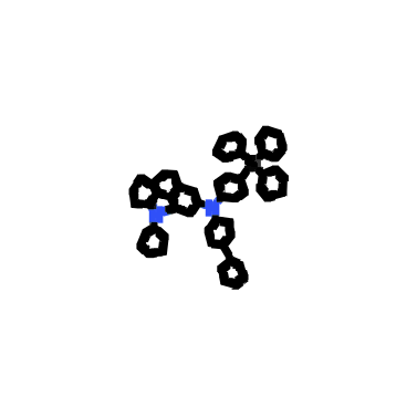 c1ccc(-c2ccc(N(c3ccc([Si](c4ccccc4)(c4ccccc4)c4ccccc4)cc3)c3cc4ccc5cccc6c5c4c(c3)n6-c3ccccc3)cc2)cc1